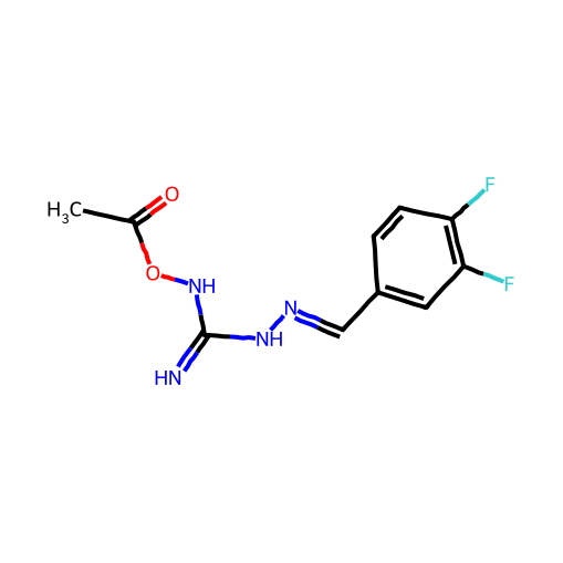 CC(=O)ONC(=N)NN=Cc1ccc(F)c(F)c1